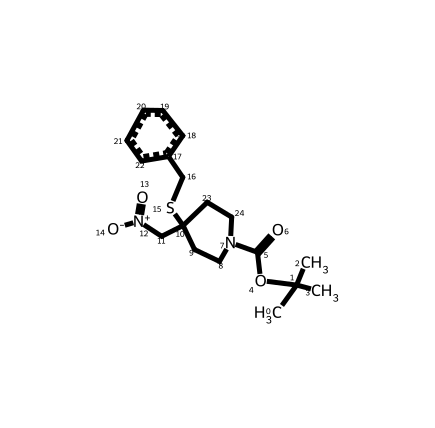 CC(C)(C)OC(=O)N1CCC(C[N+](=O)[O-])(SCc2ccccc2)CC1